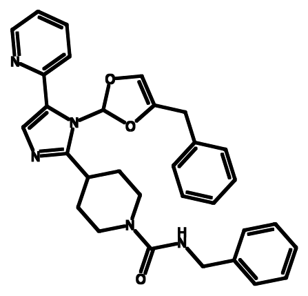 O=C(NCc1ccccc1)N1CCC(c2ncc(-c3ccccn3)n2C2OC=C(Cc3ccccc3)O2)CC1